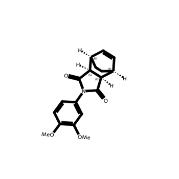 COc1ccc(N2C(=O)[C@@H]3[C@H](C2=O)[C@@H]2C=C[C@H]3CC2)cc1OC